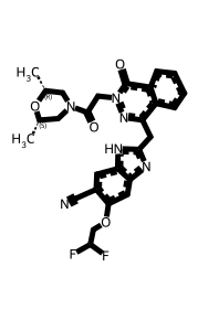 C[C@@H]1CN(C(=O)Cn2nc(Cc3nc4cc(OCC(F)F)c(C#N)cc4[nH]3)c3ccccc3c2=O)C[C@H](C)O1